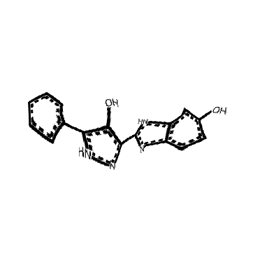 Oc1ccc2nc(-c3n[nH]c(-c4ccccc4)c3O)[nH]c2c1